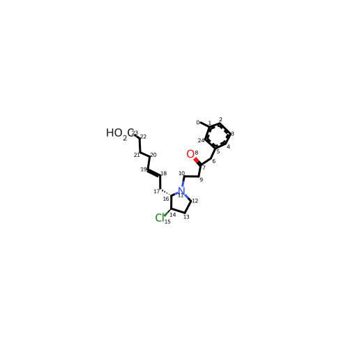 Cc1cccc(CC(=O)CCN2CC[C@@H](Cl)[C@@H]2CC=CCCCC(=O)O)c1